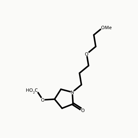 COCCOCCCN1CC(OC(=O)O)CC1=O